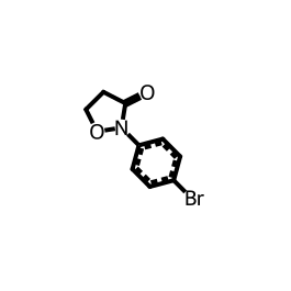 O=C1CCON1c1ccc(Br)cc1